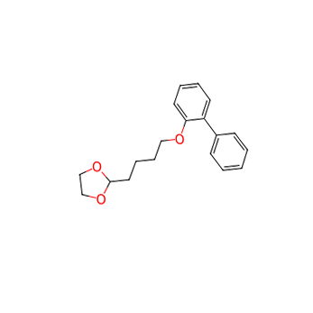 c1ccc(-c2ccccc2OCCCCC2OCCO2)cc1